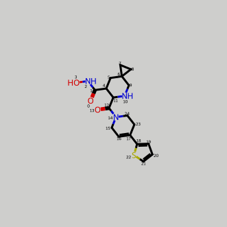 O=C(NO)C1CC2(CC2)CNC1C(=O)N1CC=C(c2cccs2)CC1